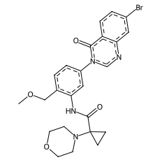 COCc1ccc(-n2cnc3cc(Br)ccc3c2=O)cc1NC(=O)C1(N2CCOCC2)CC1